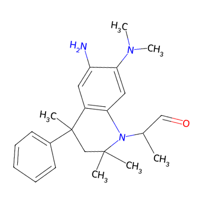 CC(C=O)N1c2cc(N(C)C)c(N)cc2C(C)(c2ccccc2)CC1(C)C